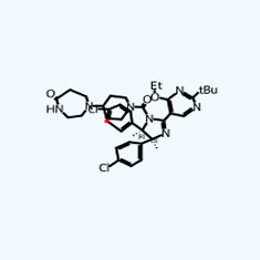 CCOc1nc(C(C)(C)C)ncc1C1=N[C@@](C)(c2ccc(Cl)cc2)[C@@](C)(c2ccc(Cl)cc2)N1C(=O)N1CCC(N2CCNC(=O)CC2)CC1